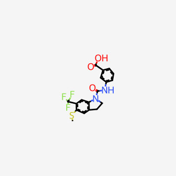 CSc1cc2c(cc1C(F)(F)F)N(C(=O)Nc1cccc(C(=O)O)c1)CC2